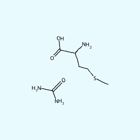 CSCCC(N)C(=O)O.NC(N)=O